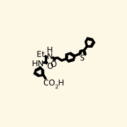 CCC(NC(=O)CCc1ccc(-c2cc(C3C=CC=CC3)cs2)cc1)C(=O)Nc1cccc(CC(=O)O)c1